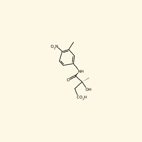 Cc1cc(NC(=O)[C@@](C)(O)CC(=O)O)ccc1[N+](=O)[O-]